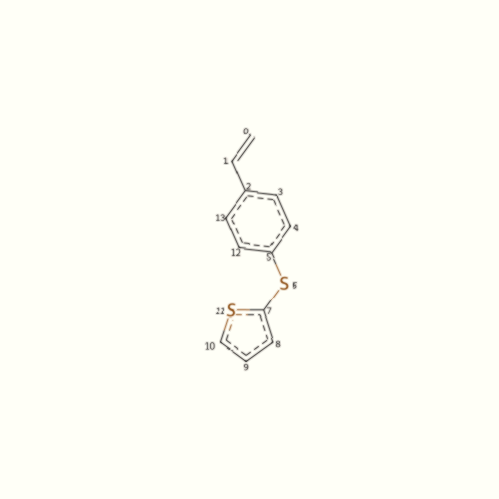 C=Cc1ccc(Sc2cccs2)cc1